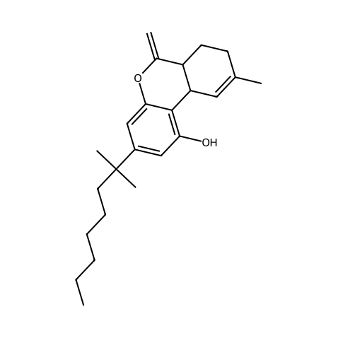 C=C1Oc2cc(C(C)(C)CCCCCC)cc(O)c2C2C=C(C)CCC12